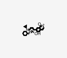 Cn1ccc2cc(O)c(-c3ccc(N(C4CC4)C4CCCCC4F)nn3)cc2c1=O